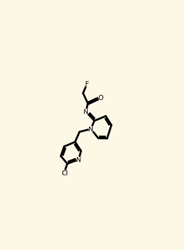 O=C(CF)N=c1ccccn1Cc1ccc(Cl)nc1